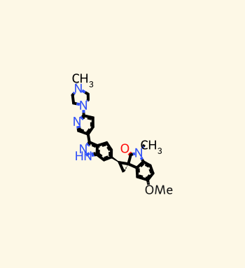 COc1ccc2c(c1)[C@]1(C[C@H]1c1ccc3c(-c4ccc(N5CCN(C)CC5)nc4)n[nH]c3c1)C(=O)N2C